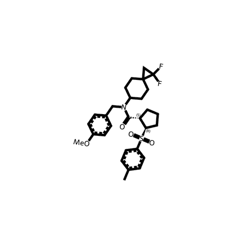 COc1ccc(CN(C(=O)[C@@H]2CCC[C@H]2S(=O)(=O)c2ccc(C)cc2)C2CCC3(CC2)CC3(F)F)cc1